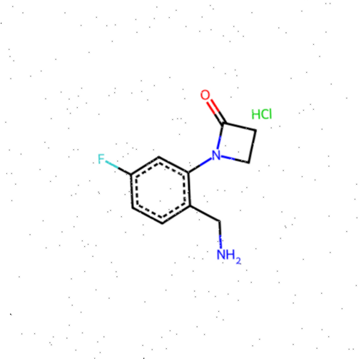 Cl.NCc1ccc(F)cc1N1CCC1=O